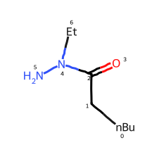 CCCCCC(=O)N(N)CC